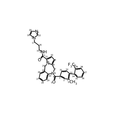 Cc1cc(C(=O)N2Cc3ccc(C(=O)NCCCn4ccnc4)n3Cc3ccccc32)ccc1-c1ccccc1C(F)(F)F